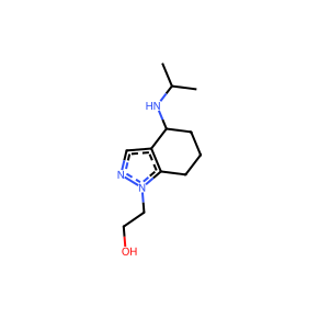 CC(C)NC1CCCc2c1cnn2CCO